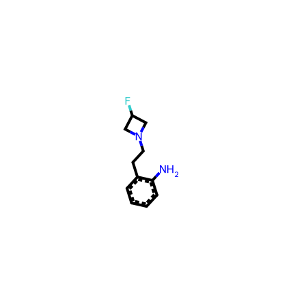 Nc1ccccc1CCN1CC(F)C1